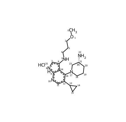 COCCCNc1c[nH]c2ncc(C3CC3)c(N3CCC[C@@H](N)C3)c12.Cl